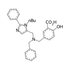 CCCCn1c(CN(Cc2ccccc2)Cc2ccc(O)c(C(=O)O)c2)cnc1-c1ccccc1